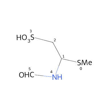 CSC(CS(=O)(=O)O)NC=O